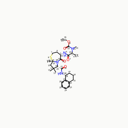 CC[C@@H](C(=O)N[C@H]1CCS[C@H]2CC(C)(C)[C@@H](C(=O)N[C@@H]3CCCc4ccccc43)N2C1=O)N(C)C(=O)OC(C)(C)C